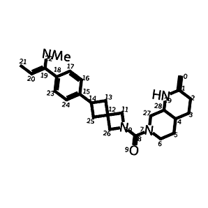 C=C1CCC2CCN(C(=O)N3CC4(CC(c5ccc(/C(=C/C)NC)cc5)C4)C3)CC2N1